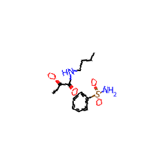 CCCCNC(=O)C(C)=O.NS(=O)(=O)c1ccccc1